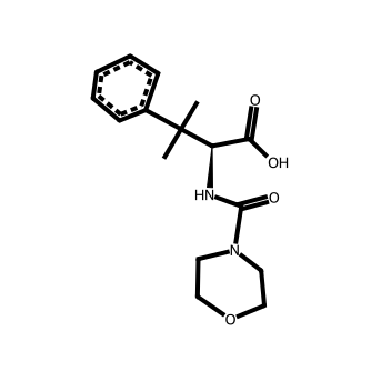 CC(C)(c1ccccc1)[C@H](NC(=O)N1CCOCC1)C(=O)O